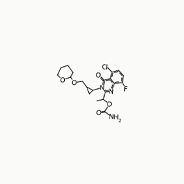 CC(OC(N)=O)c1nc2c(F)ccc(Cl)c2c(=O)n1C1CC1COC1CCCCO1